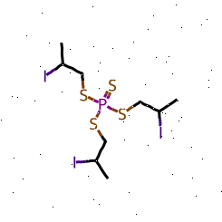 CC(I)CSP(=S)(SCC(C)I)SCC(C)I